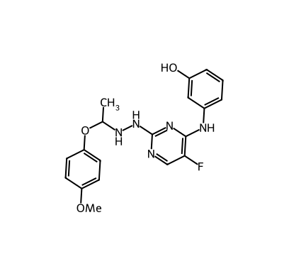 COc1ccc(OC(C)NNc2ncc(F)c(Nc3cccc(O)c3)n2)cc1